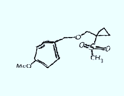 COc1ccc(COCC2(S(C)(=O)=O)CC2)cc1